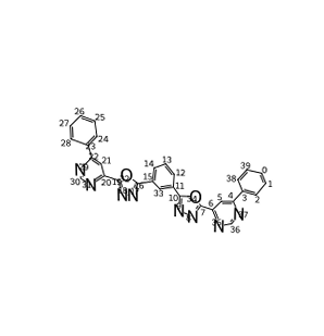 c1ccc(-c2cc(-c3nnc(-c4cccc(-c5nnc(-c6cc(-c7ccccc7)ncn6)o5)c4)o3)ncn2)cc1